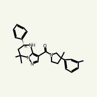 Cc1cccc(C2(C)CCN(C(=O)c3cnn4c3N[C@@H](c3ccccc3)CC4(C)C)C2)c1